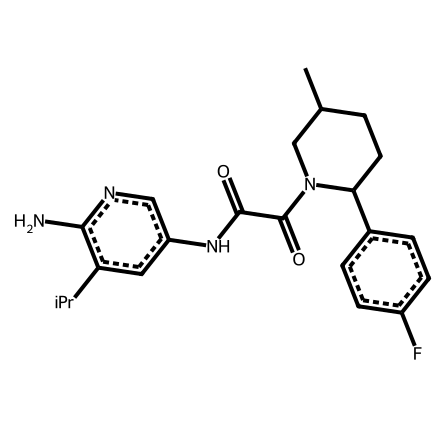 CC1CCC(c2ccc(F)cc2)N(C(=O)C(=O)Nc2cnc(N)c(C(C)C)c2)C1